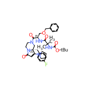 CC(C)(C)OC(=O)NC(C)(C)C(=O)N[C@H](COCc1ccccc1)C(=O)N1CCN2C(=O)C=C(N3CCCC3)[C@]2(Cc2ccc(F)cc2)C1